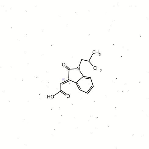 CC(C)CN1C(=O)/C(=C/C(=O)O)c2ccccc21